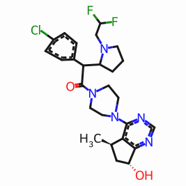 C[C@@H]1C[C@@H](O)c2ncnc(N3CCN(C(=O)C(c4ccc(Cl)cc4)C4CCCN4CC(F)F)CC3)c21